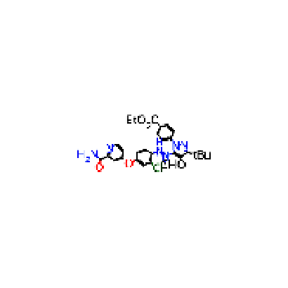 CCOC(=O)c1ccc(-n2nc(C(C)(C)C)cc2N(C=O)Nc2ccc(Oc3ccnc(C(N)=O)c3)cc2Cl)cc1